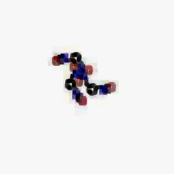 O=C=NCc1cccc(CCn2c(=O)n(Cc3cccc(CN=C=O)c3)c(=O)n(Cc3cccc(CN=C=O)c3)c2=O)c1